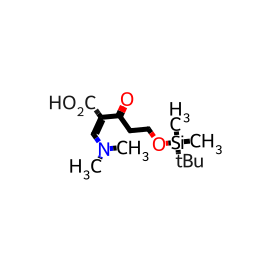 CN(C)/C=C(/C(=O)O)C(=O)CCO[Si](C)(C)C(C)(C)C